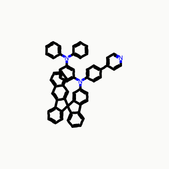 c1ccc(N(c2ccccc2)c2cccc(N(c3ccc(-c4ccncc4)cc3)c3ccc4c(c3)C3(c5ccccc5-4)c4ccccc4-c4cc5ccccc5cc43)c2)cc1